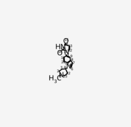 CN1CCC(n2ccc3cc(-n4ccc(=O)[nH]c4=O)ccc32)CC1